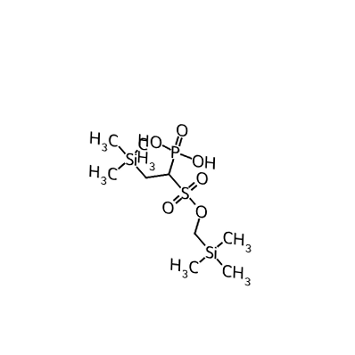 C[Si](C)(C)COS(=O)(=O)C(C[Si](C)(C)C)P(=O)(O)O